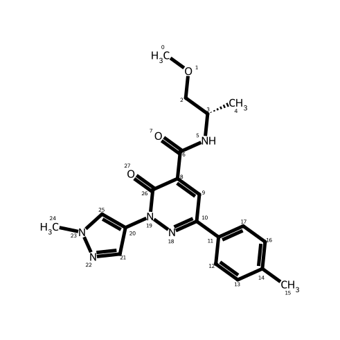 COC[C@H](C)NC(=O)c1cc(-c2ccc(C)cc2)nn(-c2cnn(C)c2)c1=O